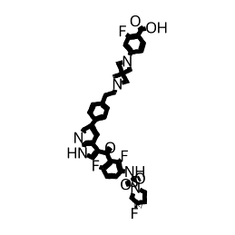 O=C(O)c1ccc(N2CC3(CN(CCc4ccc(-c5cnc6[nH]cc(C(=O)c7c(F)ccc(NS(=O)(=O)N8CC[C@@H](F)C8)c7F)c6c5)cc4)C3)C2)cc1F